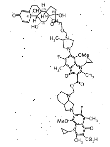 COc1c(N2CC3CCCN(COC(=O)c4c(C)n(C5CC5)c5c(OC)c(N6CCN(COCC(=O)[C@@]7(O)CC[C@H]8[C@@H]9CCC%10=CC(=O)C=C[C@]%10(C)[C@H]9[C@@H](O)C[C@@]87C)C(C)C6)c(F)c(C)c5c4=O)C3C2)c(F)c(C)c2c(=O)c(C(=O)O)c(C)n(C3CC3)c12